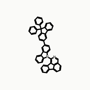 c1ccc(C2(c3ccccc3)c3ccccc3-c3cc(-c4ccc5c(c4)c4ccccc4n5-c4ncc5cccc6c5c4-c4ccccc4-6)ccc32)cc1